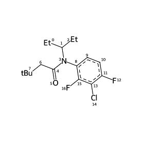 CCC(CC)N(C(=O)CC(C)(C)C)c1ccc(F)c(Cl)c1F